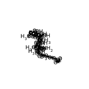 COc1cccc2c1C(=O)c1c(O)c3c(c(O)c1C2=O)C[C@@](O)(C(=O)CO)C[C@@H]3O[C@H]1C[C@H](NC(=O)C(CC(C)C)NC(=O)[C@@H](CC(N)=O)NC(=O)[C@@H](C)NC(=O)[C@@H](C)NC(=O)CCOCCOCCOCCN2C(=O)C=CC2=O)[C@H](O)[C@H](C)O1